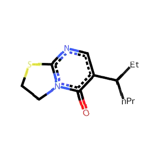 CCCC(CC)c1cnc2n(c1=O)CCS2